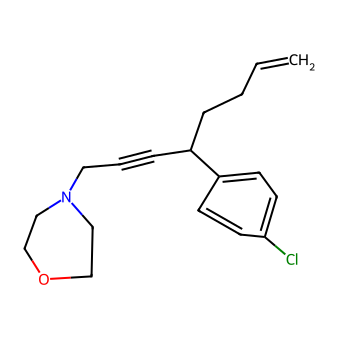 C=CCCC(C#CCN1CCOCC1)c1ccc(Cl)cc1